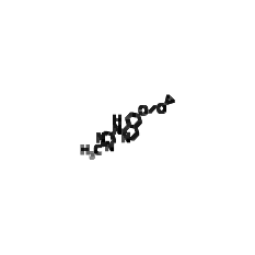 Cc1ncc(Nc2nccc3cc(OCCOC4CC4)ccc23)cn1